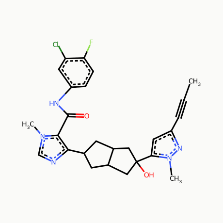 CC#Cc1cc(C2(O)CC3CC(c4ncn(C)c4C(=O)Nc4ccc(F)c(Cl)c4)CC3C2)n(C)n1